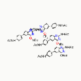 CC(=O)Nc1ccc(-c2ccc3nc(NC(C)=O)nc(OC(F)(F)F)c3c2)cc1.CCC(C)Oc1nc(NC(C)=O)nc2ccc(-c3ccc(NC(C)=O)cc3)cc12.CCCCOc1nc(NC(C)=O)nc2ccc(-c3ccc(NC(C)=O)cc3)cc12.COc1nc(NC(C)=O)nc2ccc(-c3ccc(NC(C)=O)cc3)cc12